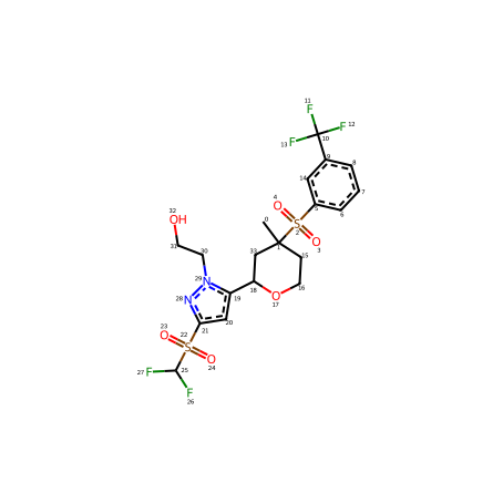 CC1(S(=O)(=O)c2cccc(C(F)(F)F)c2)CCOC(c2cc(S(=O)(=O)C(F)F)nn2CCO)C1